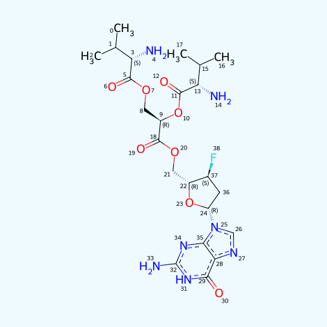 CC(C)[C@H](N)C(=O)OC[C@@H](OC(=O)[C@@H](N)C(C)C)C(=O)OC[C@H]1O[C@@H](n2cnc3c(=O)[nH]c(N)nc32)C[C@@H]1F